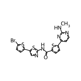 CNc1nccc(-c2ccc(C(=O)Nc3ncc(-c4ccc(Br)s4)s3)s2)n1